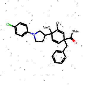 CNC(=O)C1(Cc2ccccc2)C=CC(OC)(C2CCN(c3ccc(Cl)cc3)C2)C(C(F)(F)F)=C1